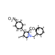 Cc1cn(Cc2ccccc2)c(C(=O)O)c1-c1ccc([N+](=O)[O-])cc1